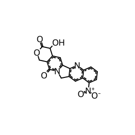 O=C1OCc2c(cc3n(c2=O)Cc2cc4c([N+](=O)[O-])cccc4nc2-3)C1O